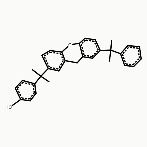 CC(C)(c1ccccc1)c1ccc2c(c1)Cc1cc(C(C)(C)c3ccc(O)cc3)ccc1O2